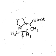 CCCCCCCC(C)N1CCC[C@H]1C(C)(C)F